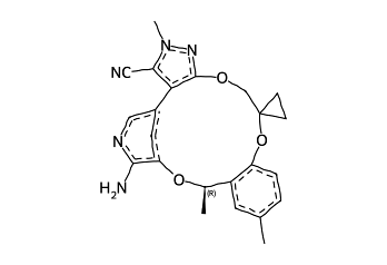 Cc1ccc2c(c1)[C@@H](C)Oc1cc(cnc1N)-c1c(nn(C)c1C#N)OCC1(CC1)O2